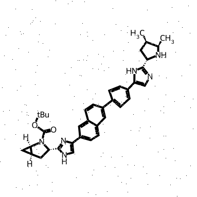 C[C@@H]1C[C@@H](c2ncc(-c3ccc(-c4ccc5cc(-c6c[nH]c([C@@H]7C[C@H]8C[C@H]8N7C(=O)OC(C)(C)C)n6)ccc5c4)cc3)[nH]2)N[C@@H]1C